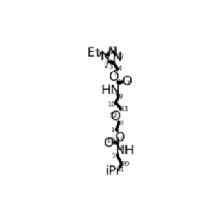 CCn1cc(COC(=O)NCCCOCCOC(=O)NCCC(C)C)nn1